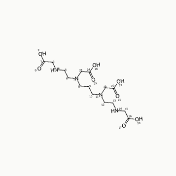 O=C(O)CNCCN(CCCN(CCNCC(=O)O)CC(=O)O)CC(=O)O